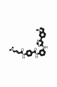 CN(C)C/C=C/C(=O)Nc1ccc(C(=O)Nc2cccc(Nc3cc(-c4ccc5ccn(C)c5c4)ncn3)c2)cc1